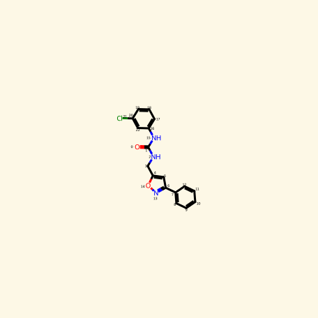 O=C(NCc1cc(-c2ccccc2)no1)Nc1cccc(Cl)c1